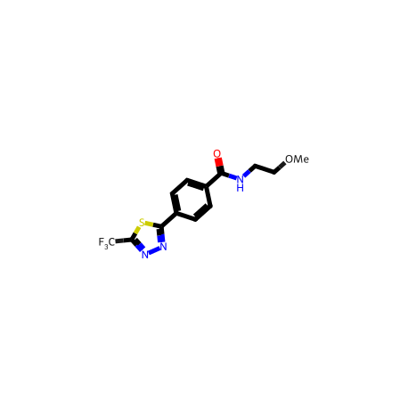 COCCNC(=O)c1ccc(-c2nnc(C(F)(F)F)s2)cc1